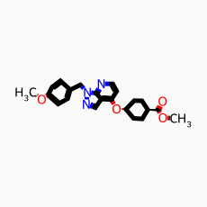 COc1ccc(Cn2ncc3c(O[C@H]4CC[C@H](C(=O)OC)CC4)ccnc32)cc1